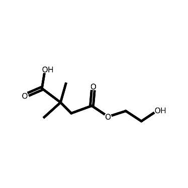 CC(C)(CC(=O)OCCO)C(=O)O